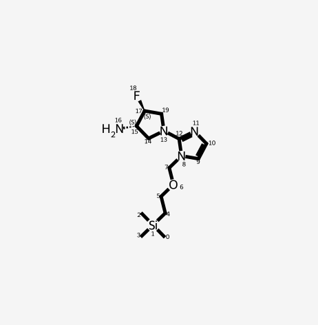 C[Si](C)(C)CCOCn1ccnc1N1C[C@H](N)[C@@H](F)C1